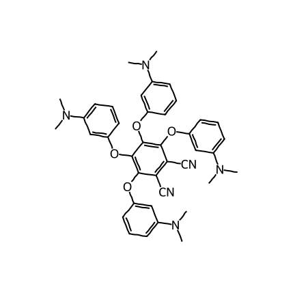 CN(C)c1cccc(Oc2c(C#N)c(C#N)c(Oc3cccc(N(C)C)c3)c(Oc3cccc(N(C)C)c3)c2Oc2cccc(N(C)C)c2)c1